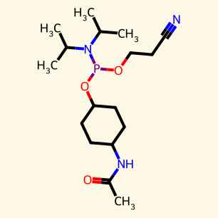 CC(=O)NC1CCC(OP(OCCC#N)N(C(C)C)C(C)C)CC1